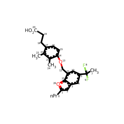 CCCc1cc2cc(C(C)(F)F)cc(COc3ccc(CCC(=O)O)c(C)c3C)c2o1